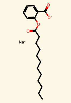 CCCCCCCCCCCC(=O)Oc1ccccc1C(=O)[O-].[Na+]